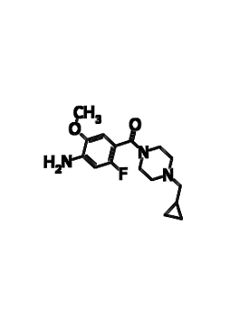 COc1cc(C(=O)N2CCN(CC3CC3)CC2)c(F)cc1N